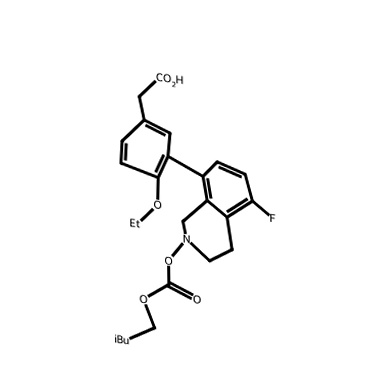 CCOc1ccc(CC(=O)O)cc1-c1ccc(F)c2c1CN(OC(=O)OCC(C)CC)CC2